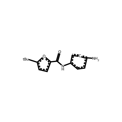 CC(C)(C)c1ccc(C(=O)Nc2ccc(N)cc2)o1